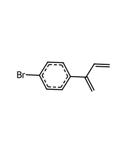 C=CC(=C)c1ccc(Br)cc1